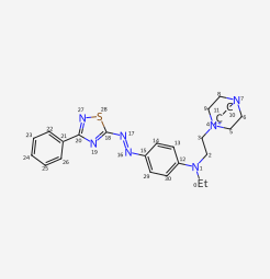 CCN(CC[N+]12CCN(CC1)CC2)c1ccc(N=Nc2nc(-c3ccccc3)ns2)cc1